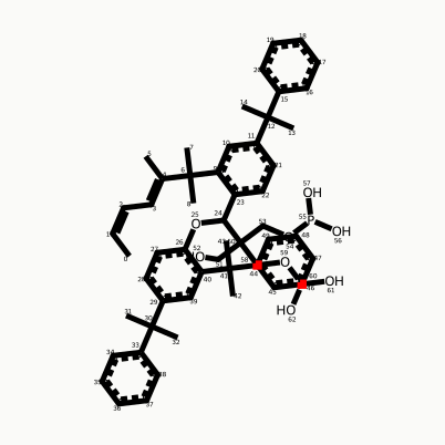 C/C=C\C=C(/C)C(C)(C)c1cc(C(C)(C)c2ccccc2)ccc1C(Oc1ccc(C(C)(C)c2ccccc2)cc1C(C)(C)c1ccccc1)C(CO)(COP(O)O)COP(O)O